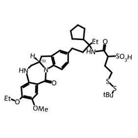 CCOc1cc2c(cc1OC)C(=O)N1c3ccc(CCC(CC)(NC(=O)C(CCSSC(C)(C)C)S(=O)(=O)O)C4CCCC4)cc3C[C@H]1CN2